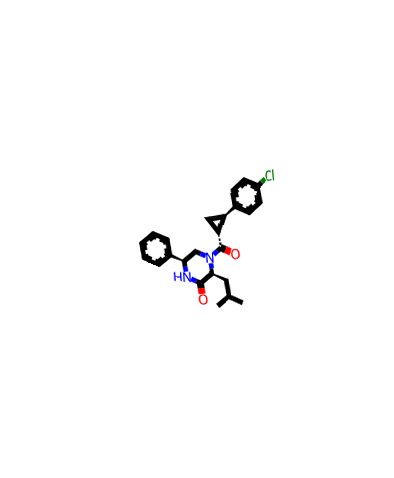 CC(C)C[C@H]1C(=O)N[C@@H](c2ccccc2)CN1C(=O)[C@@H]1C[C@H]1c1ccc(Cl)cc1